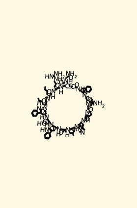 CCCC[C@H]1C(=O)N(C)[C@@H](CCCC)C(=O)N[C@@H](CCCNC(=N)N)C(=O)N[C@H](C(=O)NCC(N)=O)CSCC(=O)N[C@@H](Cc2ccccc2)C(=O)N(C)[C@@H](C)C(=O)N[C@@H](CC(N)=O)C(=O)N2CCC[C@H]2C(=O)N[C@@H](Cc2cnc[nH]2)C(=O)N[C@@H](CC(C)C)C(=O)NC(C)(C)C(=O)N[C@@H](Cc2c[nH]c3ccccc23)C(=O)N[C@@H](CO)C(=O)N[C@@H](Cc2c[nH]c3ccccc23)C(=O)N1C